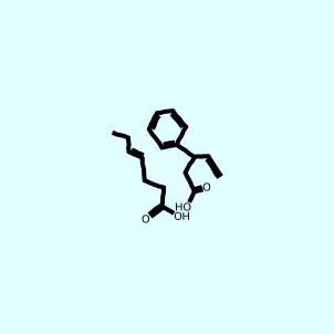 C=CC(CC(=O)O)c1ccccc1.CCC=CCCC(=O)O